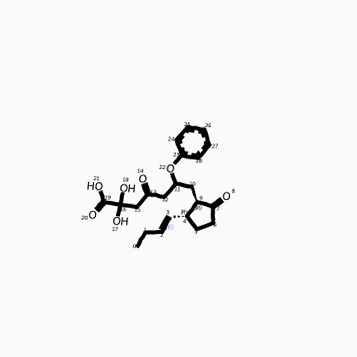 CC/C=C/[C@H]1CCC(=O)[C@@H]1CC(CC(=O)CC(O)(O)C(=O)O)Oc1ccccc1